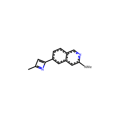 CNc1cc2cc(C3=CC(C)=N3)ccc2cn1